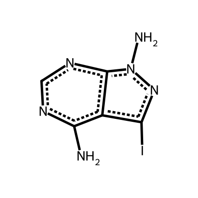 Nc1ncnc2c1c(I)nn2N